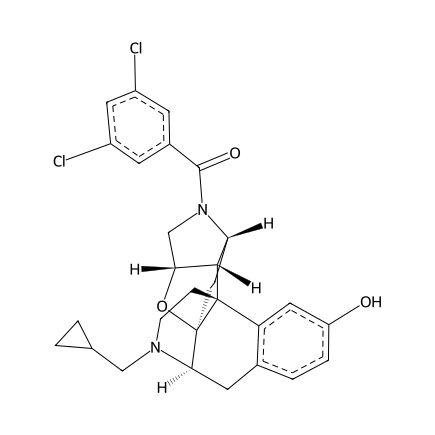 O=C(c1cc(Cl)cc(Cl)c1)N1C[C@H]2O[C@@]34CC[C@@H]1[C@@H]2[C@@]31CCN(CC2CC2)[C@@H]4Cc2ccc(O)cc21